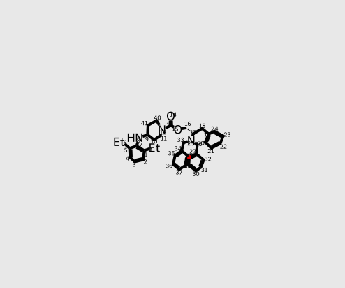 CCc1cccc(CC)c1NC1CCN(C(=O)OC[C@H](Cc2ccccc2)N(Cc2ccccc2)Cc2ccccc2)CC1